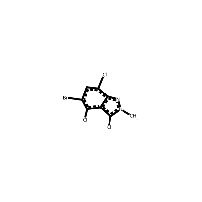 Cn1nc2c(Cl)cc(Br)c(Cl)c2c1Cl